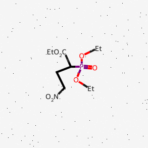 CCOC(=O)C(CC[N+](=O)[O-])P(=O)(OCC)OCC